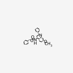 COc1ccc2c(NC(=O)OCc3ccccc3)cc(-c3ccccc3)nc2c1